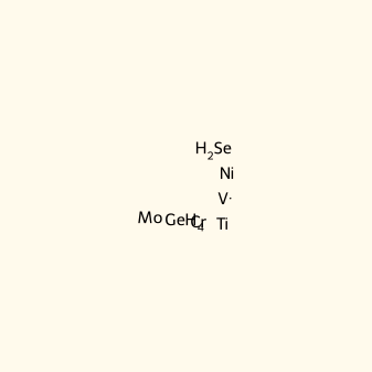 [Cr].[GeH4].[Mo].[Ni].[SeH2].[Ti].[V]